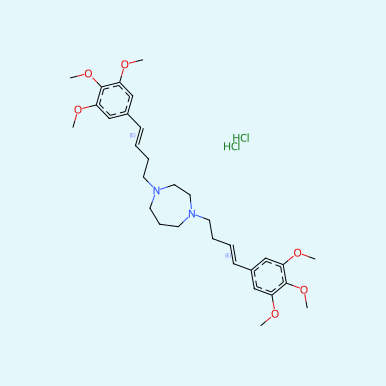 COc1cc(/C=C/CCN2CCCN(CC/C=C/c3cc(OC)c(OC)c(OC)c3)CC2)cc(OC)c1OC.Cl.Cl